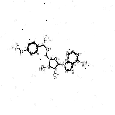 COc1ccc([C@H](C)OC[C@H]2O[C@@H](n3cnc4c(N)ncnc43)[C@H](O)[C@@H]2O)cc1